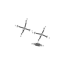 F[B-](F)(F)F.F[B-](F)(F)F.N#N